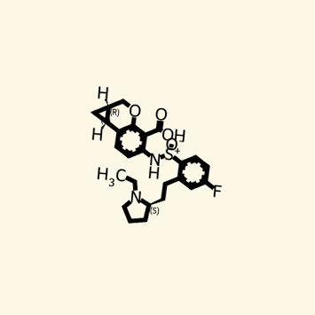 CCN1CCC[C@@H]1CCc1cc(F)ccc1[S+]([O-])Nc1ccc2c(c1C(=O)O)OC[C@@H]1C[C@H]21